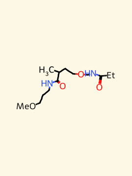 CCC(=O)NCOCCC(C)C(=O)NCCCOC